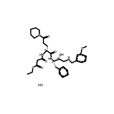 CCOC(=O)CC(=O)N[C@H](CCC(=O)N1CCCCC1)C(=O)N[C@@H](Cc1ccccc1)[C@H](O)CNCc1cccc(OC)c1.Cl